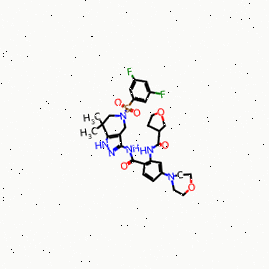 CC1(C)CN(S(=O)(=O)c2cc(F)cc(F)c2)Cc2c(NC(=O)c3ccc(N4CCOCC4)cc3NC(=O)C3CCOC3)n[nH]c21